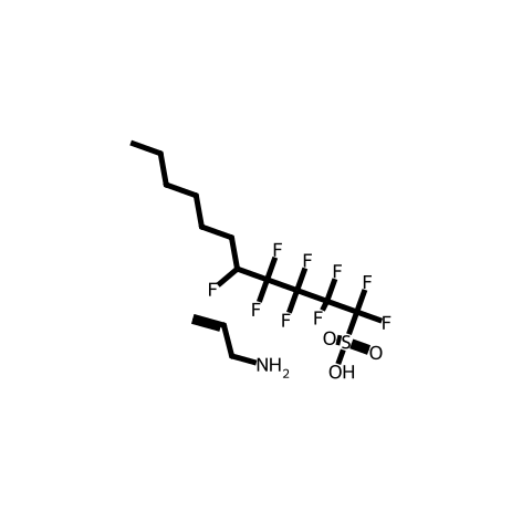 C=CCN.CCCCCCC(F)C(F)(F)C(F)(F)C(F)(F)C(F)(F)S(=O)(=O)O